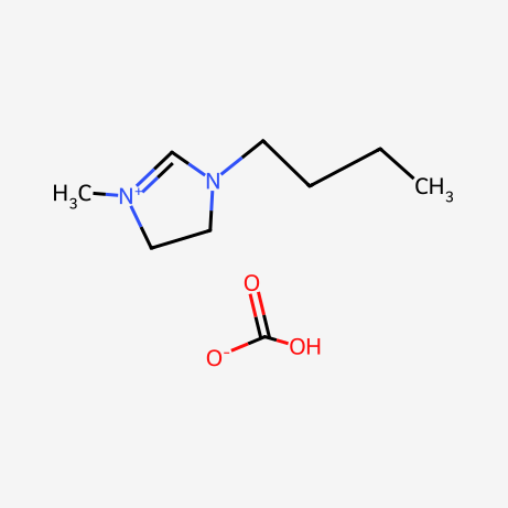 CCCCN1C=[N+](C)CC1.O=C([O-])O